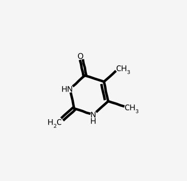 C=C1NC(=O)C(C)=C(C)N1